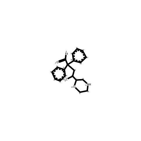 CCC(=O)C(CC(C)C1CNCCO1)(c1ccccc1)c1ccccc1